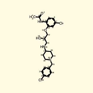 CC(=O)Nc1ccc(Cl)cc1OC[C@H](O)CNC1CCN(Cc2ccc(Cl)cc2)CC1